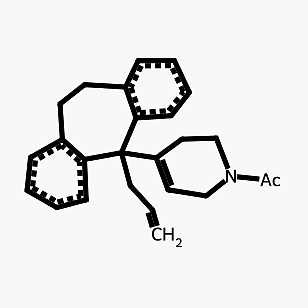 C=CCC1(C2=CCN(C(C)=O)CC2)c2ccccc2CCc2ccccc21